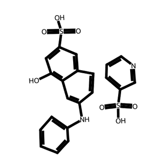 O=S(=O)(O)c1cc(O)c2cc(Nc3ccccc3)ccc2c1.O=S(=O)(O)c1cccnc1